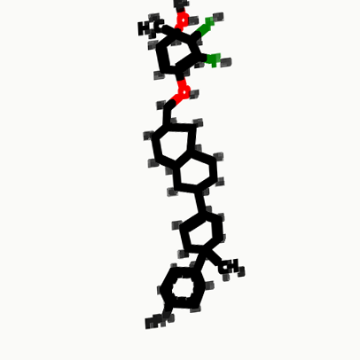 CCCc1ccc(C2(C)C=CC(C3CCC4CC(COC5=C(F)C(F)C(C)(OCC)C=C5)CCC4C3)=CC2)cc1